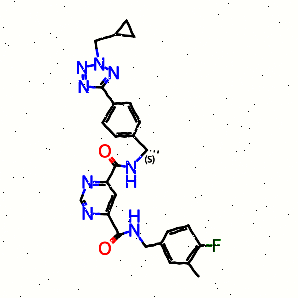 Cc1cc(CNC(=O)c2cc(C(=O)N[C@@H](C)c3ccc(-c4nnn(CC5CC5)n4)cc3)ncn2)ccc1F